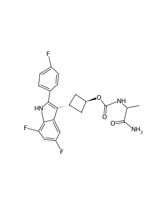 CC(NC(=O)O[C@H]1C[C@H](c2c(-c3ccc(F)cc3)[nH]c3c(F)cc(F)cc32)C1)C(N)=O